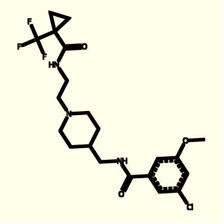 COc1cc(Cl)cc(C(=O)NCC2CCN(CCNC(=O)C3(C(F)(F)F)CC3)CC2)c1